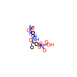 CCN(OC)C(=O)c1ccc2nc(NC(=O)[C@@H](CC3CCCC3)c3ccc(S(=O)(=O)N(CCOC)CCC(=O)O)cc3)sc2n1